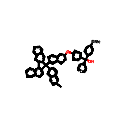 COc1ccc(C(O)(c2ccccc2)c2ccc(Oc3ccc4cc(C5(c6ccc7cc(C)ccc7c6)c6cc7ccccc7cc6-c6c5ccc5ccccc65)ccc4c3)cc2)cc1